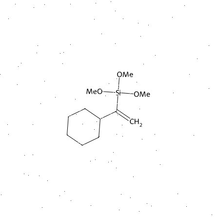 C=C(C1CCCCC1)[Si](OC)(OC)OC